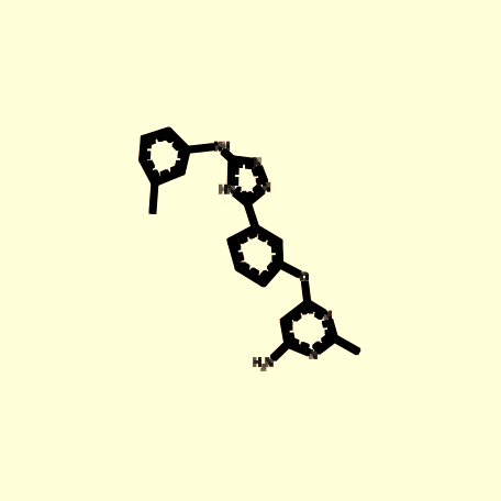 Cc1cccc(Nc2nnc(-c3cccc(Oc4cc(N)nc(C)n4)c3)[nH]2)c1